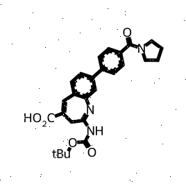 CC(C)(C)OC(=O)NC1=Nc2cc(-c3ccc(C(=O)N4CCCC4)cc3)ccc2C=C(C(=O)O)C1